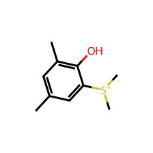 Cc1cc(C)c(O)c([S+](C)C)c1